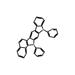 c1ccc(-n2c3cc4c(cc3c3ccc5ccccc5c32)c2ccccc2n4-c2ccccn2)cc1